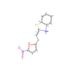 O=[N+]([O-])c1ccc(C/C=C2\Nc3ccccc3S2)o1